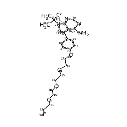 CC(C)(C)n1nc(-c2ccc(OCCOCCOCCOCCF)cc2)c2c(N)ncnc21